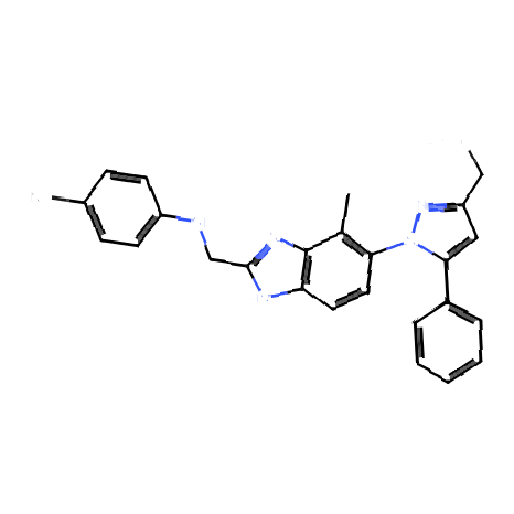 CCOC(=O)Cc1cc(-c2ccccc2)n(-c2ccc3[nH]c(CNc4ccc(C#N)cc4)nc3c2C)n1